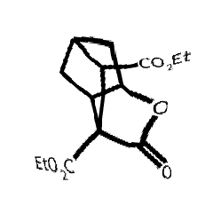 CCOC(=O)C1C2CC3OC(=O)C1(C(=O)OCC)C3C2